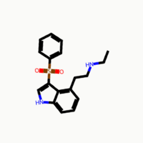 CCNCCc1cccc2[nH]cc(S(=O)(=O)c3ccccc3)c12